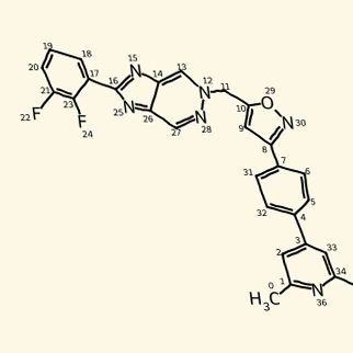 Cc1cc(-c2ccc(-c3cc(Cn4cc5nc(-c6cccc(F)c6F)nc-5cn4)on3)cc2)cc(C)n1